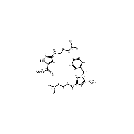 CN(C)CCCOc1cc(C(=O)O)n(Cc2ccccc2)n1.COC(=O)c1cc(OCCCN(C)C)n[nH]1